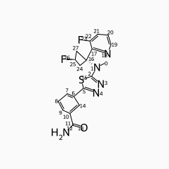 CN(c1nnc(-c2cccc(C(N)=O)c2)s1)[C@]1(c2ncccc2F)C[C@@H](F)C1